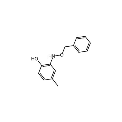 Cc1ccc(O)c(NOCc2ccccc2)c1